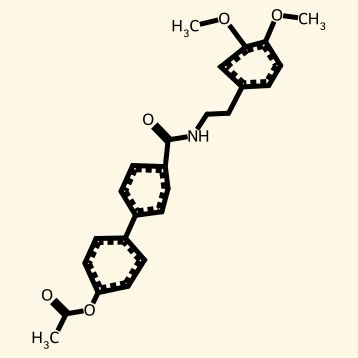 COc1ccc(CCNC(=O)c2ccc(-c3ccc(OC(C)=O)cc3)cc2)cc1OC